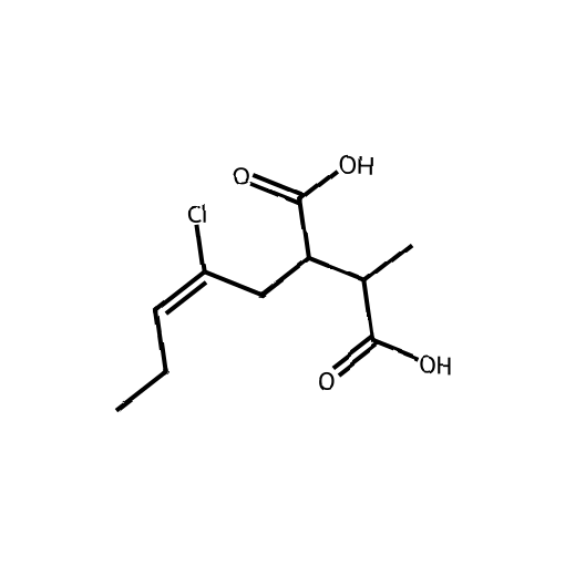 CC/C=C(/Cl)CC(C(=O)O)C(C)C(=O)O